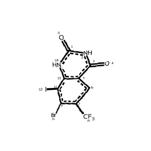 O=c1[nH]c(=O)c2cc(C(F)(F)F)c(Br)c(I)c2[nH]1